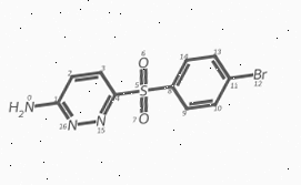 Nc1ccc(S(=O)(=O)c2ccc(Br)cc2)nn1